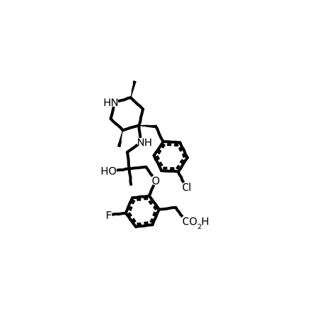 C[C@H]1C[C@](Cc2ccc(Cl)cc2)(NCC(C)(O)COc2cc(F)ccc2CC(=O)O)[C@@H](C)CN1